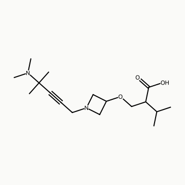 CC(C)C(COC1CN(CC#CC(C)(C)N(C)C)C1)C(=O)O